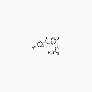 C/N=C(/N)SC(C)Cc1cc(/C=C(\F)c2ccc(C#N)cn2)cnc1F